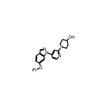 CC(C)Oc1ccc2cnn(-c3ccnc(N4CCC(O)CC4)c3)c2c1